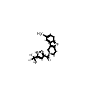 CC1=CCC2=NC3=C(CN(C(=O)c4cc(C(F)(F)F)[nH]n4)CC3)C2=C1